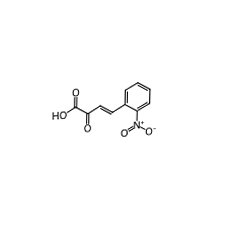 O=C(O)C(=O)C=Cc1ccccc1[N+](=O)[O-]